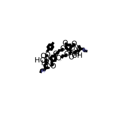 C=CCOC(=O)N1c2cc(OCCCOc3cc4c(cc3OC)C(=O)N3C=C(/C=C/C)C[C@H]3[C@H](O)N4C(=O)OCc3ccc(C)cc3)c(OC)cc2C(=O)N2C=C(/C=C/C)C[C@H]2[C@@H]1O